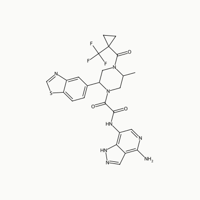 CC1CN(C(=O)C(=O)Nc2cnc(N)c3cn[nH]c23)C(c2ccc3scnc3c2)CN1C(=O)C1(C(F)(F)F)CC1